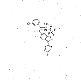 C[C@H](NC(=O)C(F)(F)F)[C@H](Oc1ccc2c(cnn2-c2ccc(F)cc2)c1)c1cccc(Cl)c1